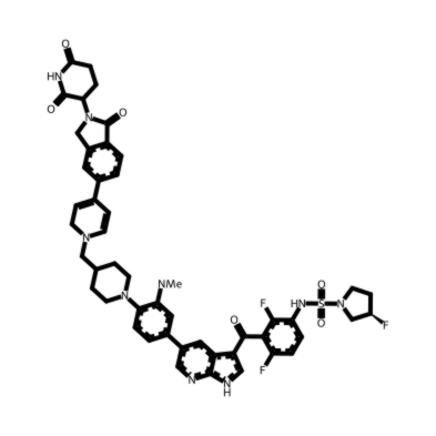 CNc1cc(-c2cnc3[nH]cc(C(=O)c4c(F)ccc(NS(=O)(=O)N5CC[C@@H](F)C5)c4F)c3c2)ccc1N1CCC(CN2C=CC(c3ccc4c(c3)CN(C3CCC(=O)NC3=O)C4=O)=CC2)CC1